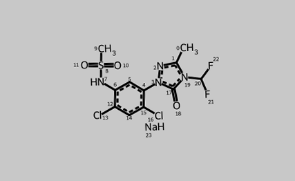 Cc1nn(-c2cc(NS(C)(=O)=O)c(Cl)cc2Cl)c(=O)n1C(F)F.[NaH]